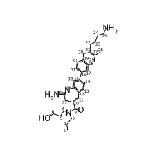 CCCN(CCCO)C(=O)C1=Cc2ccc(-c3ccc(CC(CCCCN)=C(C)C)cc3)cc2N=C(N)C1